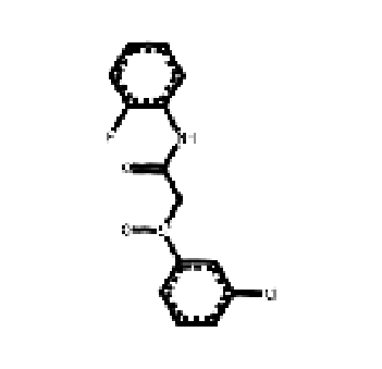 O=C(C[S+]([O-])c1cccc(Cl)c1)Nc1ccccc1F